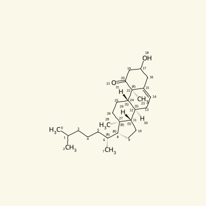 CC(C)CCC[C@@H](C)[C@H]1CC[C@H]2[C@@H]3CC=C4CC(O)CC(=O)[C@]4(C)[C@H]3CC[C@]12C